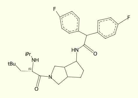 CC(C)N[C@@H](CC(C)(C)C)C(=O)N1CC2CCC(NC(=O)C(c3ccc(F)cc3)c3ccc(F)cc3)C2C1